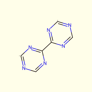 [c]1ncnc(-c2n[c]ncn2)n1